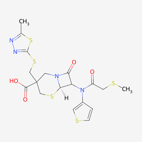 CSCC(=O)N(c1ccsc1)C1C(=O)N2CC(CSc3nnc(C)s3)(C(=O)O)CS[C@H]12